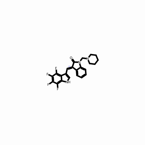 O=C1/C(=C/c2c[nH]c3c(F)c(F)c(F)c(F)c23)c2ccccc2N1CN1CCCCC1